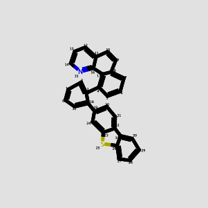 c1ccc(-c2cccc3ccc4cccnc4c23)c(-c2ccc3c(c2)sc2ccccc23)c1